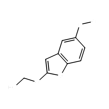 COc1ccc2oc(OCO)cc2c1